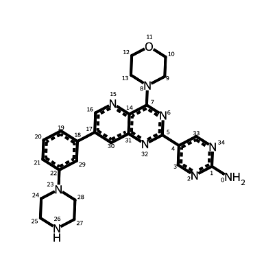 Nc1ncc(-c2nc(N3CCOCC3)c3ncc(-c4cccc(N5CCNCC5)c4)cc3n2)cn1